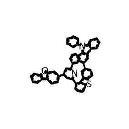 c1ccc(-c2cc(-c3ccc4c(c3)oc3ccccc34)cc(-c3cccc4sc5ccc(-c6ccc7c(c6)c6ccccc6n7-c6ccccc6)cc5c34)n2)cc1